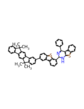 CC1(C)c2ccccc2-c2cc3c(cc21)-c1cc(-c2ccc4sc5c(C6N=C(c7ccccc7)c7c(sc8ccccc78)N6)cccc5c4c2)ccc1C3(C)C